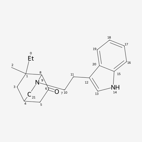 CCC1(C)CC2CC(=O)C1N(CCc1c[nH]c3ccccc13)C2